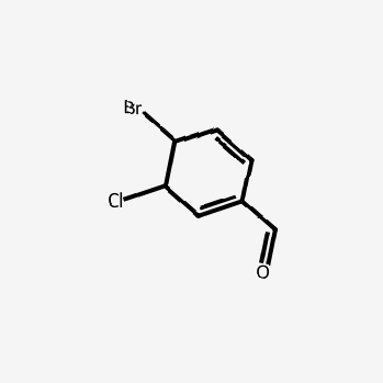 O=CC1=CC(Cl)C(Br)C=C1